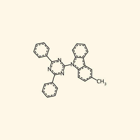 Cc1ccc2c(c1)c1ccccc1n2-c1nc(-c2ccccc2)nc(-c2ccccc2)n1